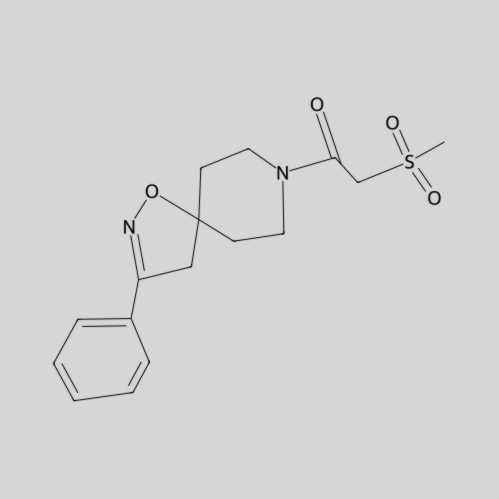 CS(=O)(=O)CC(=O)N1CCC2(CC1)CC(c1ccccc1)=NO2